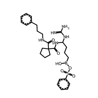 N=C(N)NC(CCCB(O)OS(=O)(=O)c1ccccc1)NC(=O)C1(C(=O)NCCCc2ccccc2)CCCC1